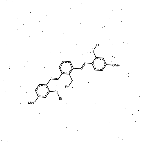 CCOc1cc(OC)ccc1/C=C/c1cccc(/C=C/c2ccc(OC)cc2OCC)c1CC(C)C